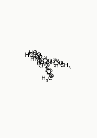 COc1ccc(COc2ccc(C(=O)C(=O)N[C@@H](CO)C(=O)O)c(Cl)c2OCc2ccc(OC)cc2)cc1